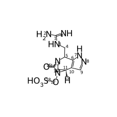 N=C(N)NCC1c2[nH]ncc2[C@H]2CN1C(=O)N2OS(=O)(=O)O